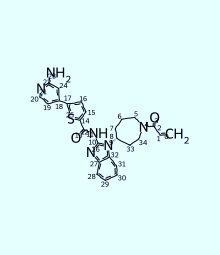 C=CC(=O)N1CCC[C@@H](n2c(NC(=O)c3ccc(-c4ccnc(N)c4)s3)nc3ccccc32)CC1